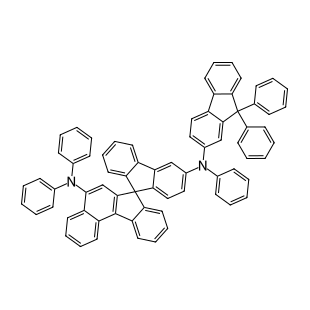 c1ccc(N(c2ccc3c(c2)-c2ccccc2C32c3ccccc3-c3c2cc(N(c2ccccc2)c2ccccc2)c2ccccc32)c2ccc3c(c2)C(c2ccccc2)(c2ccccc2)c2ccccc2-3)cc1